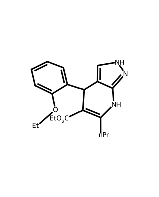 CCCC1=C(C(=O)OCC)C(c2ccccc2OCC)c2c[nH]nc2N1